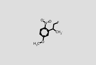 [CH2]C(CF)c1cc(OC)ccc1[N+](=O)[O-]